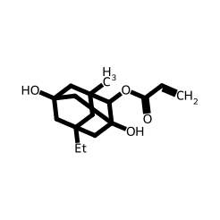 C=CC(=O)OC1C2(C)CC3(O)CC(CC)(C2)CC1(O)C3